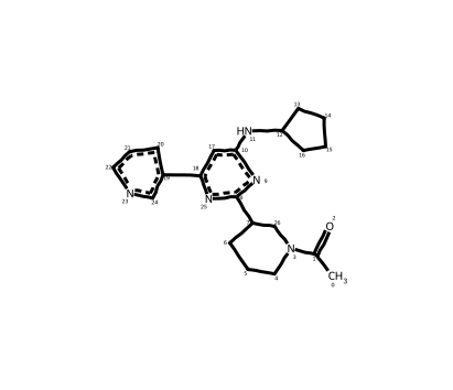 CC(=O)N1CCCC(c2nc(NC3CCCC3)cc(-c3cccnc3)n2)C1